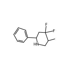 CC1CNC(c2ccccc2)CC1(F)F